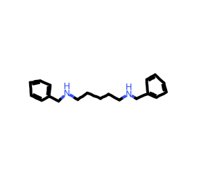 c1ccc(CNCCCCCNCc2ccccc2)cc1